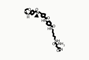 N[C@H](Cc1cnco1)C(=O)NCCCCCCNC(=O)c1ccc(NC(=O)c2ccc(CN(C(=O)c3ccc4c(c3)OCCOCN4)C3CC3)cc2)cc1